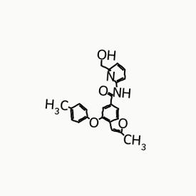 Cc1ccc(Oc2cc(C(=O)Nc3cccc(CO)n3)cc3oc(C)cc23)cc1